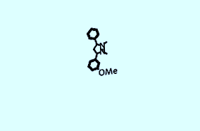 COc1cccc(C2CC(c3ccccc3)N(C)N2C)c1